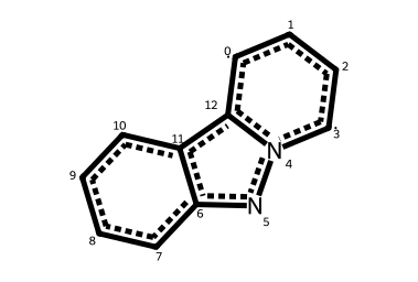 [c]1cc[c]n2nc3ccccc3c12